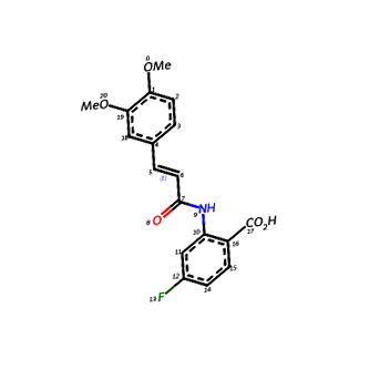 COc1ccc(/C=C/C(=O)Nc2cc(F)ccc2C(=O)O)cc1OC